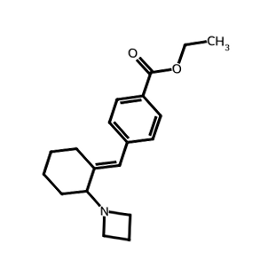 CCOC(=O)c1ccc(/C=C2\CCCCC2N2CCC2)cc1